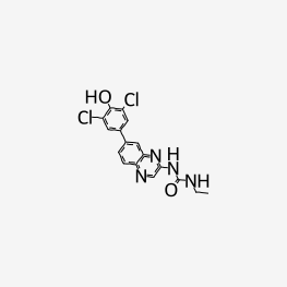 CCNC(=O)Nc1cnc2ccc(-c3cc(Cl)c(O)c(Cl)c3)cc2n1